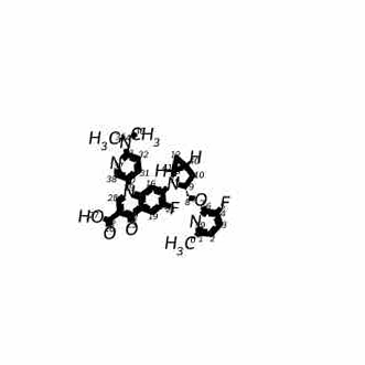 Cc1ccc(F)c(OC[C@H]2C[C@H]3C[C@H]3N2c2cc3c(cc2F)c(=O)c(C(=O)O)cn3-c2ccc(N(C)C)nc2)n1